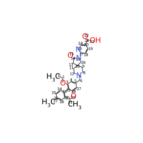 CCOc1cc(CN2CCC3(CC2)CC(=O)N(c2ccc(C(=O)O)cn2)C3)cc(OCC)c1-c1ccc(C)cc1